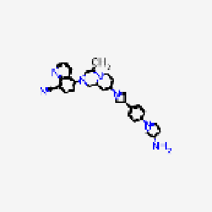 CC1CN(c2ccc(C#N)c3ncccc23)CC2CC(N3CC(c4ccc(N5CCC(N)C5)cc4)C3)CCN12